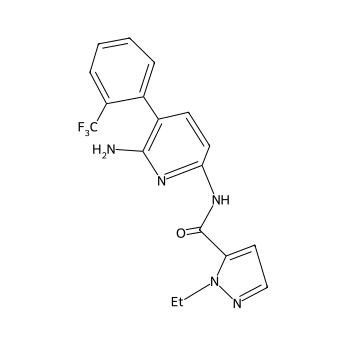 CCn1nccc1C(=O)Nc1ccc(-c2ccccc2C(F)(F)F)c(N)n1